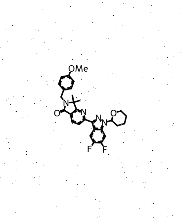 COc1ccc(CN2C(=O)c3ccc(-c4nn(C5CCCCO5)c5cc(F)c(F)cc45)nc3C2(C)C)cc1